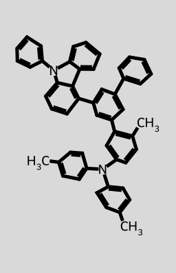 Cc1ccc(N(c2ccc(C)cc2)c2ccc(C)c(-c3cc(-c4ccccc4)cc(-c4cccc5c4c4ccccc4n5-c4ccccc4)c3)c2)cc1